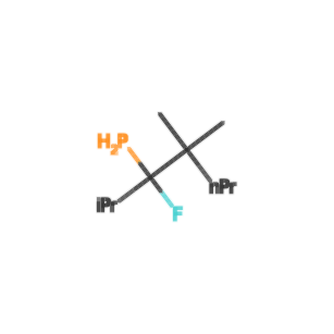 CCCC(C)(C)C(F)(P)C(C)C